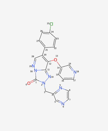 O=c1n(Cc2cnccn2)nc2c(Oc3cccnc3)c(-c3ccc(Cl)cc3)cnn12